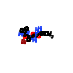 Cc1ccc(NC(=O)NNC(=O)Cn2cc(C3=N[C@@H](c4ccccc4)[C@H](c4ccccc4)NC3=O)c3cc(Br)ccc32)cc1